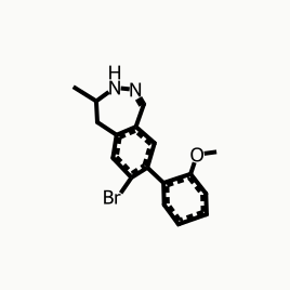 COc1ccccc1-c1cc2c(cc1Br)CC(C)NN=C2